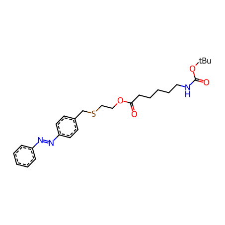 CC(C)(C)OC(=O)NCCCCCC(=O)OCCSCc1ccc(N=Nc2ccccc2)cc1